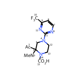 CNC1(C(C)=O)CN(c2nccc(C(F)(F)F)n2)CCN1C(=O)O